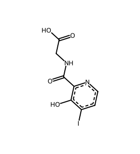 O=C(O)CNC(=O)c1nccc(I)c1O